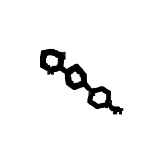 CC(C)N1CCN(c2ccc(-c3ncccn3)cc2)CC1